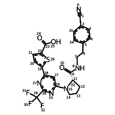 N#Cc1ccc(CCNC(=O)[C@@H]2CCCN2c2cc(-c3ccc(C(=O)O)s3)nc(C(F)(F)F)n2)cc1